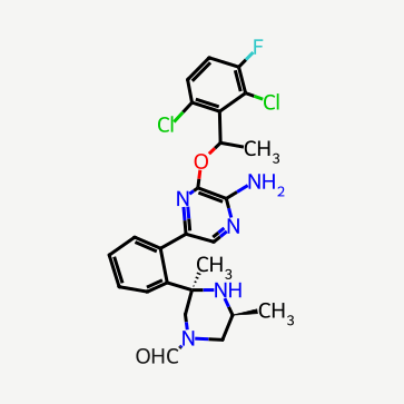 CC(Oc1nc(-c2ccccc2[C@]2(C)CN(C=O)C[C@H](C)N2)cnc1N)c1c(Cl)ccc(F)c1Cl